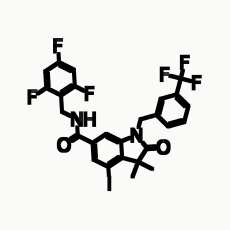 CC1(C)C(=O)N(Cc2cccc(C(F)(F)F)c2)c2cc(C(=O)NCc3c(F)cc(F)cc3F)cc(I)c21